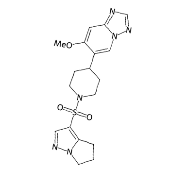 COc1cc2ncnn2cc1C1CCN(S(=O)(=O)c2cnn3c2CCC3)CC1